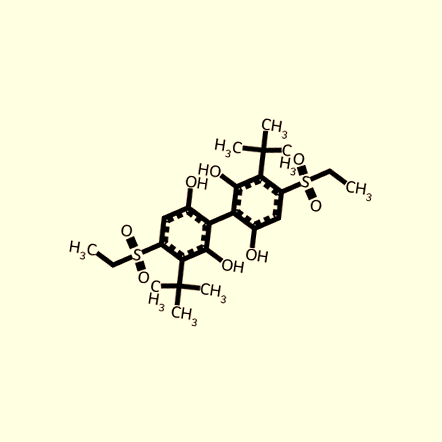 CCS(=O)(=O)c1cc(O)c(-c2c(O)cc(S(=O)(=O)CC)c(C(C)(C)C)c2O)c(O)c1C(C)(C)C